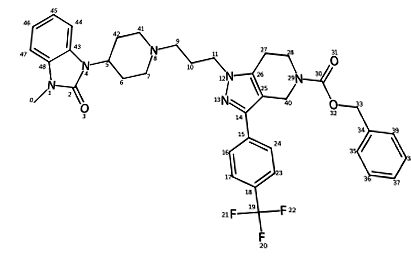 Cn1c(=O)n(C2CCN(CCCn3nc(-c4ccc(C(F)(F)F)cc4)c4c3CCN(C(=O)OCc3ccccc3)C4)CC2)c2ccccc21